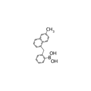 Cc1ccc2c(Cc3ccccc3B(O)O)cccc2c1